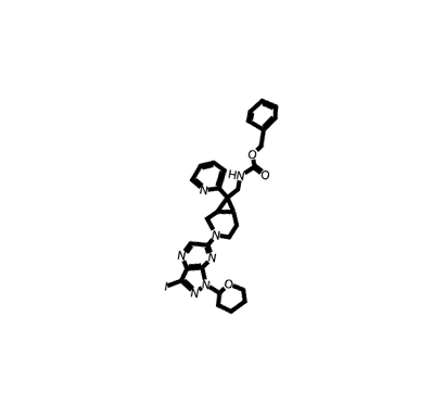 O=C(NCC1(c2ccccn2)C2CCN(c3cnc4c(I)nn(C5CCCCO5)c4n3)CC21)OCc1ccccc1